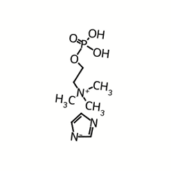 C[N+](C)(C)CCOP(=O)(O)O.c1c[n-]cn1